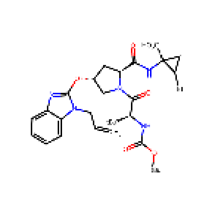 C=CCn1c(O[C@@H]2C[C@@H](C(=O)NC3(C(=O)O)CC3CC)N(C(=O)[C@@H](NC(=O)OC(C)(C)C)C(C)(C)C)C2)nc2ccccc21